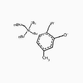 CCCC[N+](CCCC)(CCCC)CCCC.Cc1ccc(C(C)C)c([O-])c1